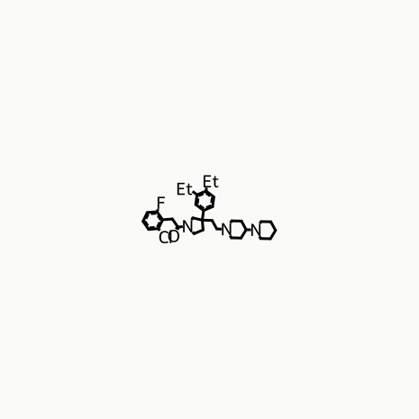 CCc1ccc(C2(CCN3CCC(N4CCCCC4)CC3)CCN(C(=O)Cc3c(F)cccc3Cl)C2)cc1CC